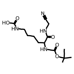 CC(C)(C)OC(=O)NC(CCCCNC(=O)O)C(=O)NCC#N